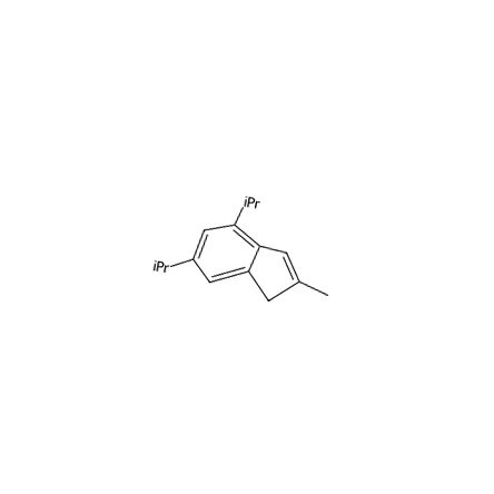 CC1=Cc2c(cc(C(C)C)cc2C(C)C)C1